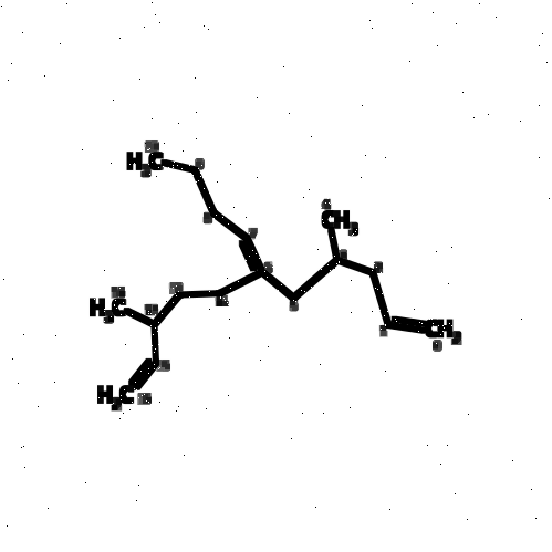 C=CCC(C)CC(=CCCC)CCC(C)C=C